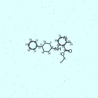 CCOC(=O)c1c(NC2CCC(c3ccccc3)CC2)ccnc1C